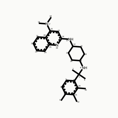 Cc1ccc(C(C)(C)NC2CCC(Nc3cc(N(C)C)c4ccccc4n3)CC2)c(C)c1C